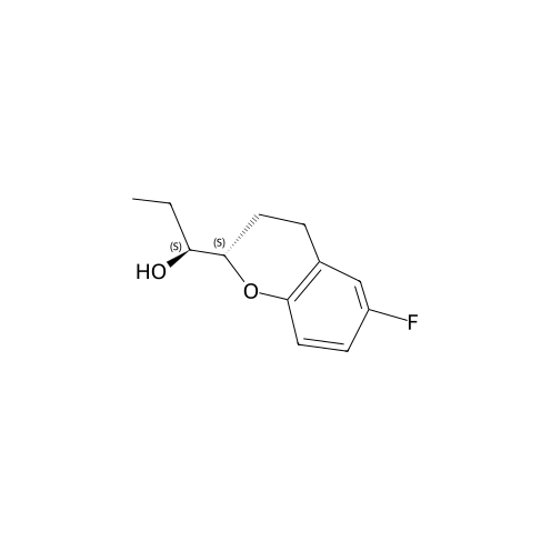 CC[C@H](O)[C@@H]1CCc2cc(F)ccc2O1